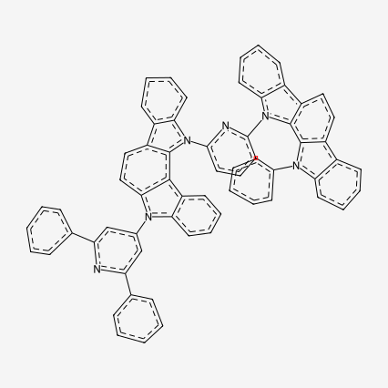 c1ccc(-c2cc(-n3c4ccccc4c4c3ccc3c5ccccc5n(-c5cccc(-n6c7ccccc7c7ccc8c9ccccc9n(-c9ccccc9)c8c76)n5)c34)cc(-c3ccccc3)n2)cc1